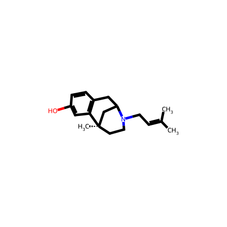 CC(C)=CCN1CC[C@]2(C)CC1Cc1ccc(O)cc12